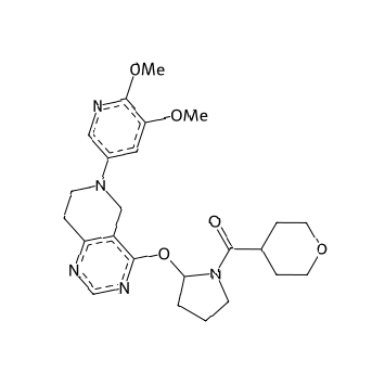 COc1cc(N2CCc3ncnc(OC4CCCN4C(=O)C4CCOCC4)c3C2)cnc1OC